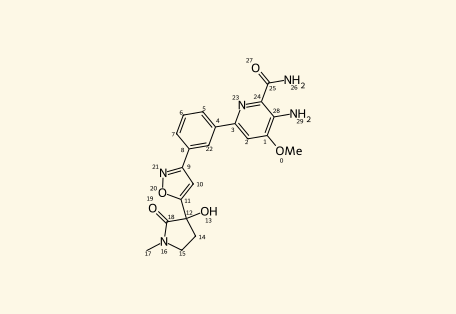 COc1cc(-c2cccc(-c3cc(C4(O)CCN(C)C4=O)on3)c2)nc(C(N)=O)c1N